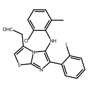 Cc1cccc(Cl)c1Nc1c(-c2ccccc2I)nc2scc(CC=O)n12